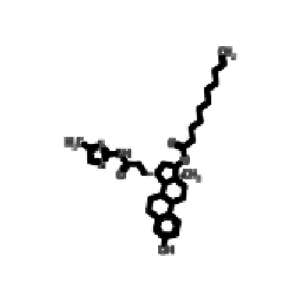 C=CCCCCCCCCC(=O)OC1C[C@@H](CCC(=O)Nc2ncc(C)s2)C2C3CCc4cc(O)ccc4C3CC[C@]12C